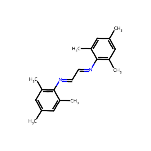 Cc1cc(C)c(N=C/C=N/c2c(C)cc(C)cc2C)c(C)c1